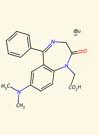 CC[C@H](C)C1N=C(c2ccccc2)c2cc(N(C)C)ccc2N(CC(=O)O)C1=O